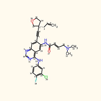 C=CC[C@@]1(C#Cc2cc3ncnc(Nc4ccc(F)c(Cl)c4)c3cc2NC(=O)/C=C/CN(C)C)CCOC1